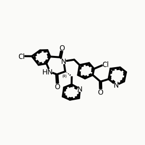 O=C(c1ccccn1)c1ccc(CN2C(=O)c3ccc(Cl)cc3NC(=O)[C@H]2Cc2ccccn2)cc1Cl